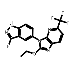 CCOc1nc2ccc(C(F)(F)F)nc2n1-c1ccc2[nH]nc(F)c2c1